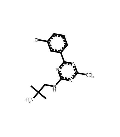 CC(C)(N)CNc1nc(-c2cccc(Cl)c2)nc(C(Cl)(Cl)Cl)n1